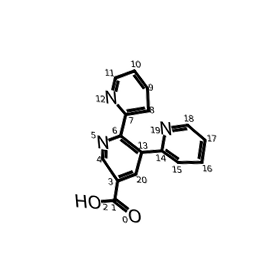 O=C(O)c1cnc(-c2ccccn2)c(-c2ccccn2)c1